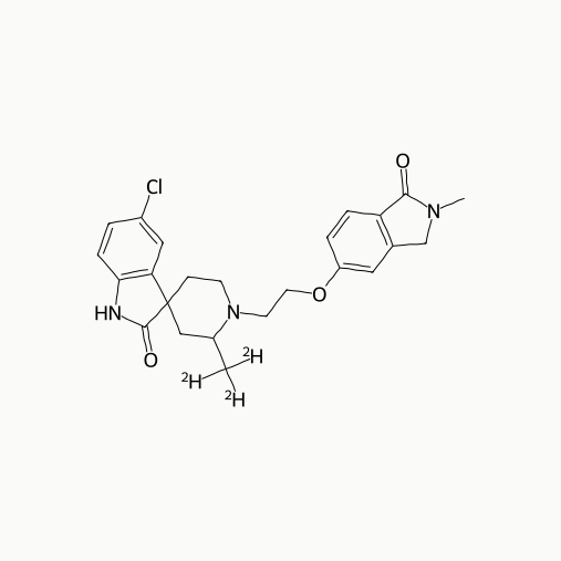 [2H]C([2H])([2H])C1CC2(CCN1CCOc1ccc3c(c1)CN(C)C3=O)C(=O)Nc1ccc(Cl)cc12